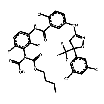 CCCCOC(=O)N(C(=O)O)c1c(F)ccc(NC(=O)c2cc(NC3=NOC(c4cc(Cl)cc(Cl)c4)(C(F)(F)F)C3)ccc2Cl)c1F